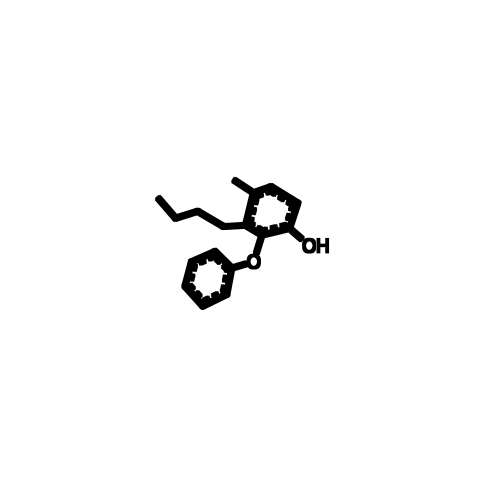 CCCCc1c(C)ccc(O)c1Oc1ccccc1